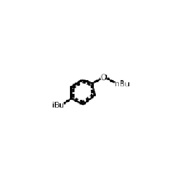 CCCCOc1ccc(C(C)CC)cc1